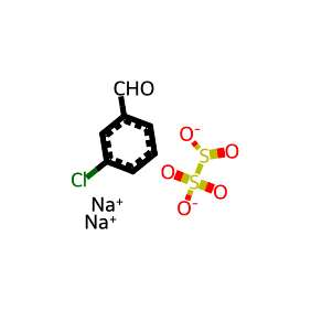 O=Cc1cccc(Cl)c1.O=S([O-])S(=O)(=O)[O-].[Na+].[Na+]